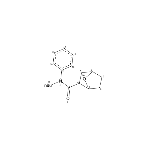 CCCCN(C(=O)C1CC2CCC1O2)c1ccccc1